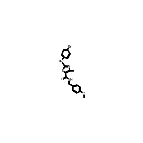 COc1ccc(CNC(=O)c2sc(Nc3ccc(Br)cc3)nc2C)cc1